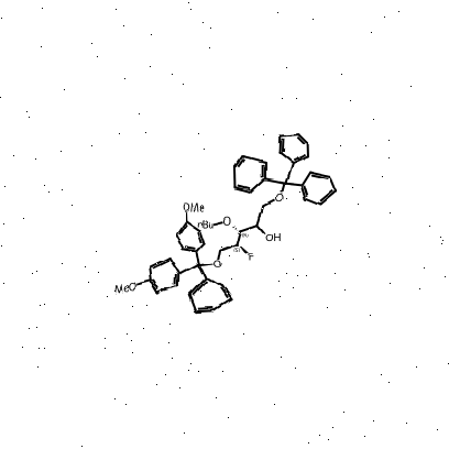 CCCCO[C@H](C(O)COC(c1ccccc1)(c1ccccc1)c1ccccc1)[C@@H](F)COC(c1ccccc1)(c1ccc(OC)cc1)c1ccc(OC)cc1